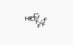 C=C=C.C=CCl.F.FCC(F)(F)F